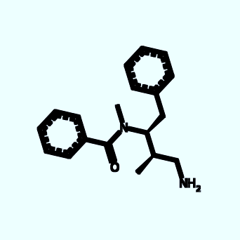 C[C@H](CN)[C@H](Cc1ccccc1)N(C)C(=O)c1ccccc1